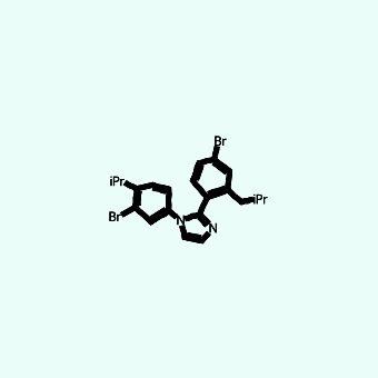 CC(C)Cc1cc(Br)ccc1-c1nccn1-c1ccc(C(C)C)c(Br)c1